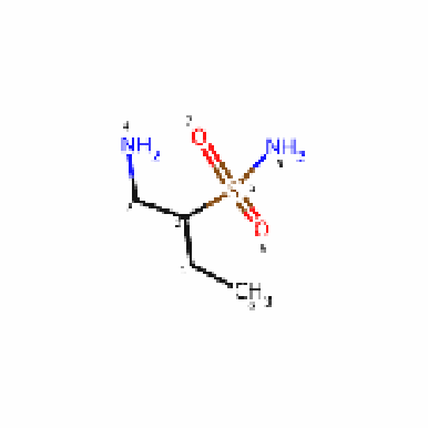 CCC(CN)S(N)(=O)=O